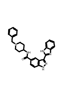 O=C(NC1CCN(Cc2ccccc2)CC1)c1ccc2[nH]nc(-c3nc4ccccc4[nH]3)c2c1